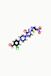 C[N+]1(c2ncc([N+](=O)[O-])s2)CCN(N2CCN(c3ccc(C=O)c(Cl)c3)CC2)C1=O